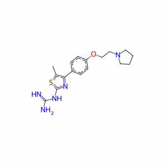 Cc1sc(NC(=N)N)nc1-c1ccc(OCCN2CCCC2)cc1